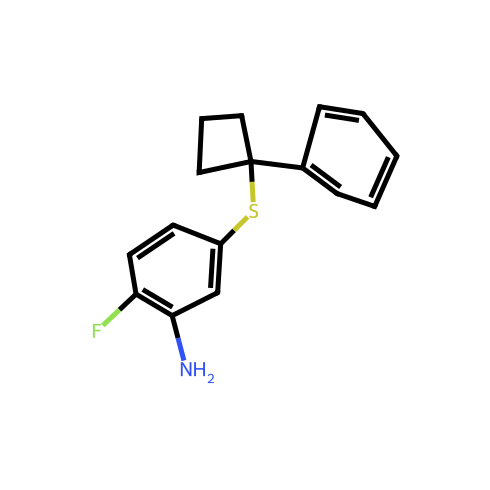 Nc1cc(SC2(c3ccccc3)CCC2)ccc1F